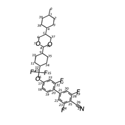 CC1CCC(C2COC(C3CCC(C(F)(F)Oc4ccc(-c5cc(F)c(C#N)c(F)c5)c(F)c4)CC3)OC2)CC1